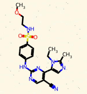 CCn1c(-c2nc(Nc3ccc(S(=O)(=O)NCCOC)cc3)ncc2C#N)cnc1C